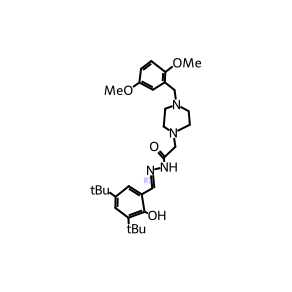 COc1ccc(OC)c(CN2CCN(CC(=O)N/N=C/c3cc(C(C)(C)C)cc(C(C)(C)C)c3O)CC2)c1